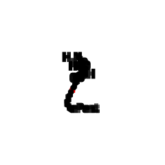 CCCCC/C=C\C/C=C\CCCCCCCCCC(=O)OCC(O)COP(=O)(O)OCCN